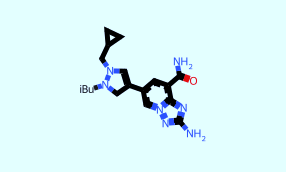 CCC(C)N1CC(c2cc(C(N)=O)c3nc(N)nn3c2)=CN1CC1CC1